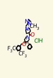 Cl.Cn1ccnc1CN1CCC(C(=O)N2CC[C@@H](OCc3cc(C(F)(F)F)cc(C(F)(F)F)c3)[C@@H](c3ccccc3)C2)CC1